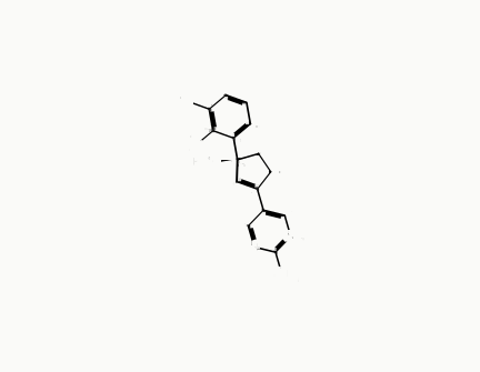 Cc1ncc(C2=C[C@](C(=O)O)(c3cccc(F)c3C)CC2)cn1